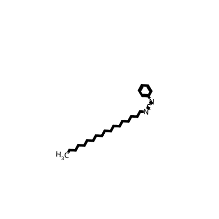 CCCCCCCCCCCCCCCCCCN=C=Nc1ccccc1